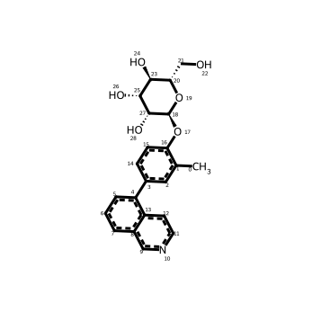 Cc1cc(-c2cccc3cnccc23)ccc1O[C@@H]1O[C@@H](CO)[C@H](O)[C@@H](O)[C@H]1O